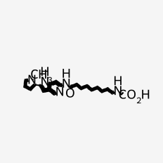 CN1CCC[C@@H]1c1cc2cnc(NC(=O)CCCCCCCCNC(=O)O)cc2[nH]1